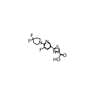 O=C(O)c1csc(-c2cnc(N3CCC(F)(F)CC3)c(F)c2)n1